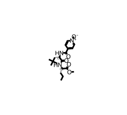 CCC[C@H](NC(=O)[C@H](CC(C)(C)C)NC(=O)c1cc[n+]([O-])cc1)C(=O)OC